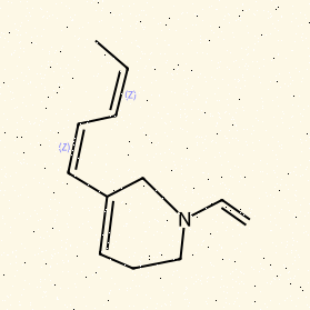 C=CN1CCC=C(/C=C\C=C/C)C1